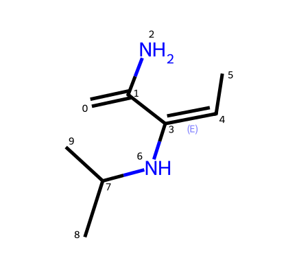 C=C(N)/C(=C\C)NC(C)C